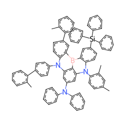 Cc1ccc(N2c3ccc([Si](c4ccccc4)(c4ccccc4)c4ccccc4)cc3B3c4cc(-c5ccccc5C)ccc4N(c4ccc(-c5ccccc5C)cc4)c4cc(N(c5ccccc5)c5ccccc5)cc2c43)c(C)c1